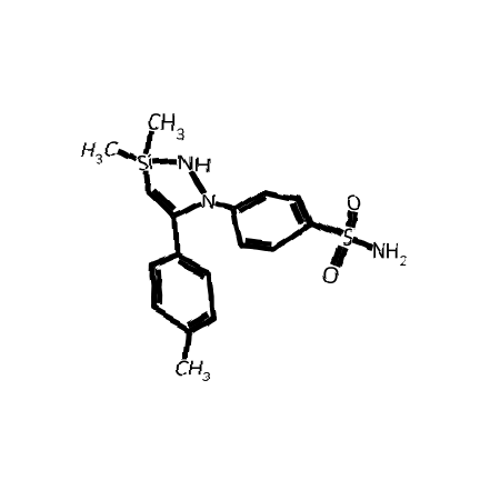 Cc1ccc(C2=C[Si](C)(C)NN2c2ccc(S(N)(=O)=O)cc2)cc1